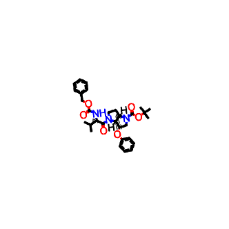 CC(C)[C@H](NC(=O)OCc1ccccc1)C(=O)N1CC[C@@H]2[C@H]1[C@@H](Oc1ccccc1)CN2C(=O)OC(C)(C)C